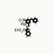 CCOC(=O)c1c(/N=C/c2cc(Cc3ccccc3)cc([N+](=O)[O-])c2O)sc2c1CCCC2